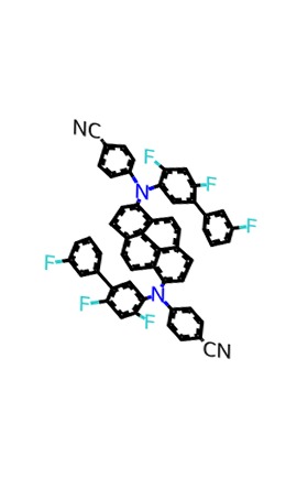 N#Cc1ccc(N(c2cc(-c3cccc(F)c3)c(F)cc2F)c2ccc3ccc4c(N(c5ccc(C#N)cc5)c5cc(-c6cccc(F)c6)c(F)cc5F)ccc5ccc2c3c54)cc1